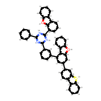 c1ccc(-c2nc(-c3cccc(-c4cc(-c5ccc6c(c5)sc5ccccc56)cc5oc6ccccc6c45)c3)nc(-c3cccc4c3oc3ccccc34)n2)cc1